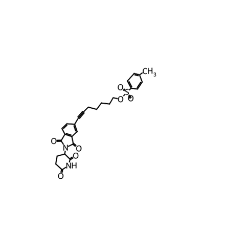 Cc1ccc(S(=O)(=O)OCCCCCC#Cc2ccc3c(c2)C(=O)N(C2CCC(=O)NC2=O)C3=O)cc1